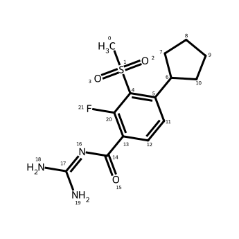 CS(=O)(=O)c1c(C2CCCC2)ccc(C(=O)N=C(N)N)c1F